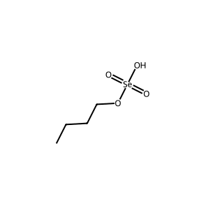 CCCCO[Se](=O)(=O)O